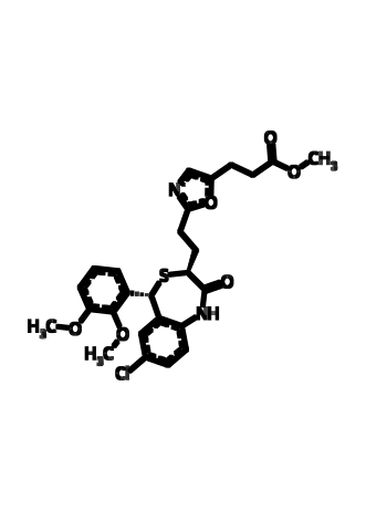 COC(=O)CCc1cnc(CC[C@@H]2S[C@@H](c3cccc(OC)c3OC)c3cc(Cl)ccc3NC2=O)o1